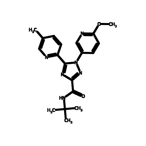 COc1ccc(-n2nc(C(=O)NC(C)(C)C)nc2-c2ccc(C)cn2)cn1